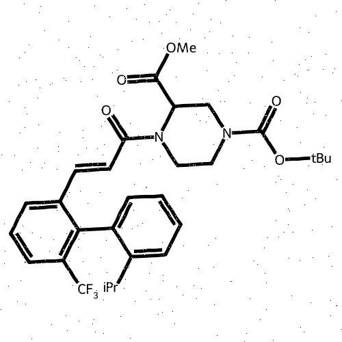 COC(=O)C1CN(C(=O)OC(C)(C)C)CCN1C(=O)/C=C/c1cc[c]c(C(F)(F)F)c1-c1ccccc1C(C)C